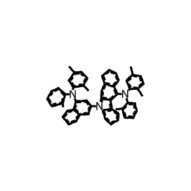 Cc1ccc(C)c(N(c2ccccc2C)c2cc(-n3c4ccccc4c4c(N(c5ccccc5C)c5cc(C)ccc5C)c5ccccc5cc43)cc3ccccc23)c1